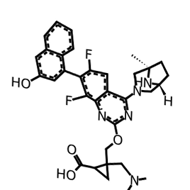 CN(C)CC1(COc2nc(N3C[C@H]4CC[C@](C)(C3)N4)c3cc(F)c(-c4cc(O)cc5ccccc45)c(F)c3n2)CC1C(=O)O